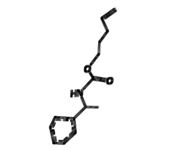 C=CCCCOC(=O)NC(C)c1ccccc1